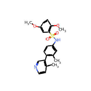 COc1ccc(OC)c(S(=O)(=O)Nc2ccc(-c3cnccc3C)c(C)c2)c1